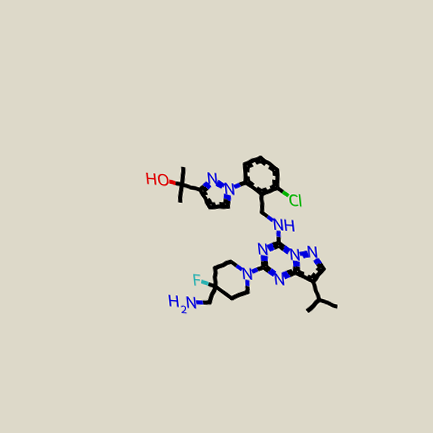 CC(C)c1cnn2c(NCc3c(Cl)cccc3-n3ccc(C(C)(C)O)n3)nc(N3CCC(F)(CN)CC3)nc12